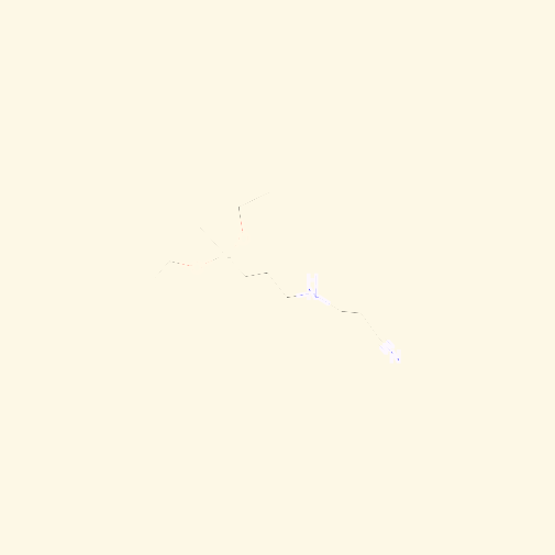 CCO[Si](C)(CCCNCCC#N)OCC